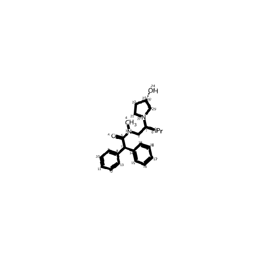 CC(C)C(CN(C)C(=O)C(c1ccccc1)c1ccccc1)N1CC[C@H](O)C1